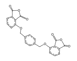 O=C1OC(=O)c2c(OCc3ccc(COc4cccc5c4C(=O)OC5=O)cc3)cccc21